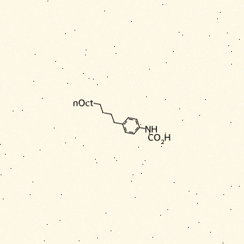 CCCCCCCCCCCCc1ccc(NC(=O)O)cc1